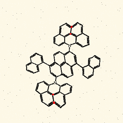 c1ccc2c(-c3cc(N(c4cccc5ccccc45)c4cccc5ccccc45)c4ccc5c(-c6cccc7ccccc67)cc(N(c6cccc7ccccc67)c6cccc7ccccc67)c6ccc3c4c56)cccc2c1